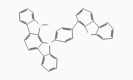 Cn1c2ccccc2c2ccc3c4ccccc4n(-c4ccc(-c5cccc6c5sc5ccccc56)cc4)c3c21